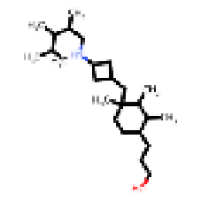 CC(C)C(C)C(C)CNC1CC(CC2(C)CCC(CCCO)C(C)C2C)C1